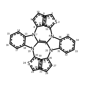 c1csc(N2C(=C3N(c4cccs4)c4ccccc4N3c3cccs3)N(c3cccs3)c3ccccc32)c1